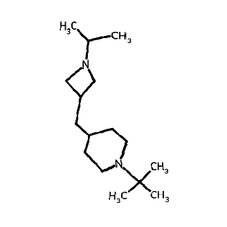 CC(C)N1CC(CC2CCN(C(C)(C)C)CC2)C1